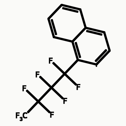 FC(F)(F)C(F)(F)C(F)(F)C(F)(F)c1[c]ccc2ccccc12